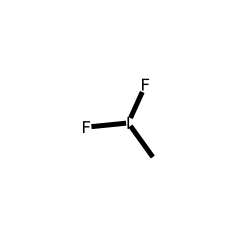 CI(F)F